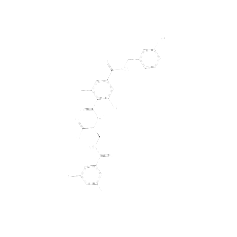 Cc1cc(C(=O)NCc2cccc(O)c2)cc(Cl)c1C(=O)N[C@@H](CNC(=O)c1cc(F)cc(F)c1)C(=O)O